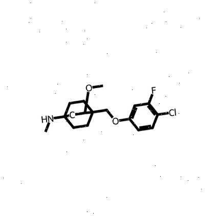 CNC12CCC(COc3ccc(Cl)c(F)c3)(CC1)C(OC)C2